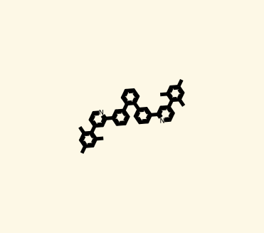 Cc1cc(C)c(-c2ccnc(-c3cccc(-c4ccccc4-c4cccc(-c5cc(-c6c(C)cc(C)cc6C)ccn5)c4)c3)c2)c(C)c1